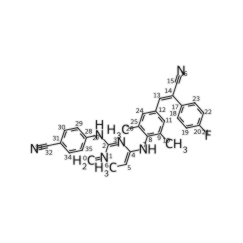 C=N/C(=N\C(=C/C)Nc1c(C)cc(/C=C(/C#N)c2ccc(F)cc2)cc1C)Nc1ccc(C#N)cc1